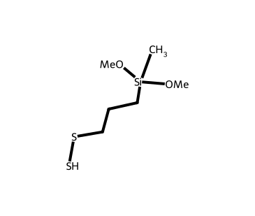 CO[Si](C)(CCCSS)OC